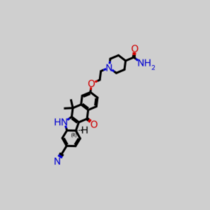 CC1(C)C2=C(C(=O)c3ccc(OCCN4CCC(C(N)=O)CC4)cc31)[C@H]1C=CC(C#N)=CC1N2